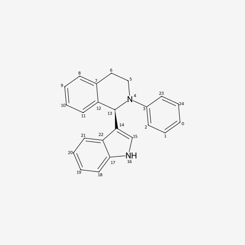 c1ccc(N2CCc3ccccc3[C@@H]2c2c[nH]c3ccccc23)cc1